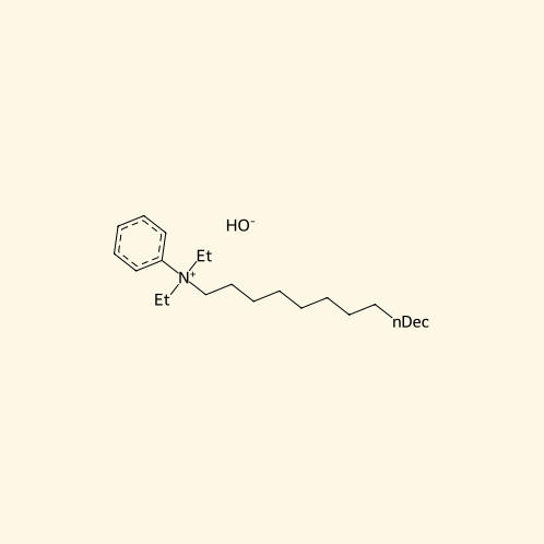 CCCCCCCCCCCCCCCCCC[N+](CC)(CC)c1ccccc1.[OH-]